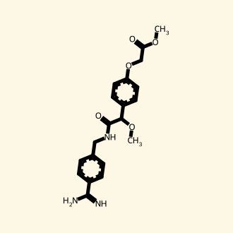 COC(=O)COc1ccc(C(OC)C(=O)NCc2ccc(C(=N)N)cc2)cc1